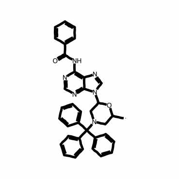 [CH2]C1CN(C(c2ccccc2)(c2ccccc2)c2ccccc2)CC(n2cnc3c(NC(=O)c4ccccc4)ncnc32)O1